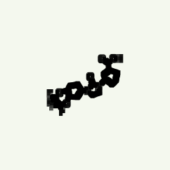 O=C(O)c1cccc(N2CCN(c3ccc4c(c3)OC(F)(F)C(F)(F)O4)C2=O)c1